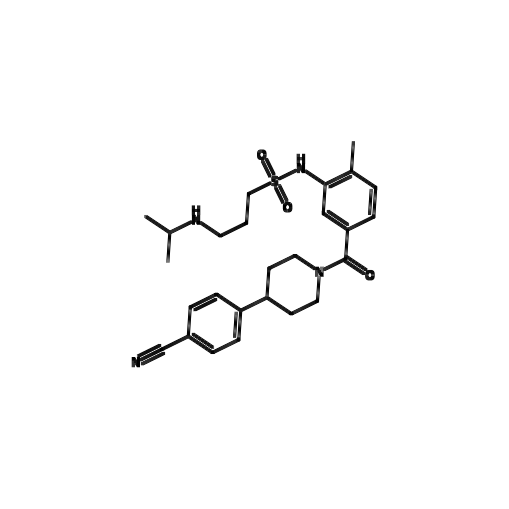 Cc1ccc(C(=O)N2CCC(c3ccc(C#N)cc3)CC2)cc1NS(=O)(=O)CCCNC(C)C